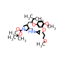 COCCCOc1cc(O[C@@H](C[C@@H]2CN(C(=O)OC(C)(C)C)C[C@H]2CNC2CC2)C(C)C)ccc1OC